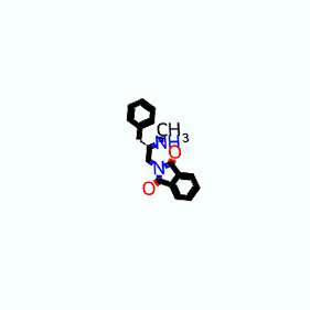 CN[C@@H](Cc1ccccc1)CN1C(=O)c2ccccc2C1=O